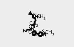 C=CC(CCCc1cc(C2CC2)nn1C)CN(C(=O)C(=C)CCF)c1cccc(-c2ccc3nc(C)sc3c2)c1